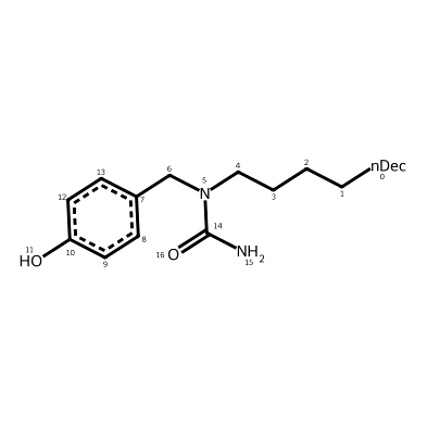 CCCCCCCCCCCCCCN(Cc1ccc(O)cc1)C(N)=O